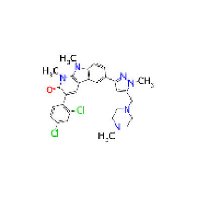 CN1CCN(Cc2cc(-c3ccc4c(c3)c3cc(-c5ccc(Cl)cc5Cl)c(=O)n(C)c3n4C)nn2C)CC1